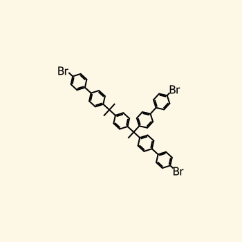 CC(C)(c1ccc(-c2ccc(Br)cc2)cc1)c1ccc(C(C)(c2ccc(-c3ccc(Br)cc3)cc2)c2ccc(-c3ccc(Br)cc3)cc2)cc1